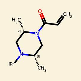 C=CC(=O)N1C[C@H](C)N(C(C)C)C[C@@H]1C